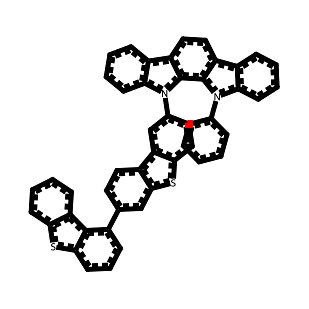 c1ccc(-n2c3ccccc3c3ccc4c5ccccc5n(-c5ccc6sc7cc(-c8cccc9sc%10ccccc%10c89)ccc7c6c5)c4c32)cc1